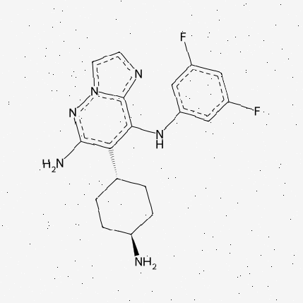 Nc1nn2ccnc2c(Nc2cc(F)cc(F)c2)c1[C@H]1CC[C@H](N)CC1